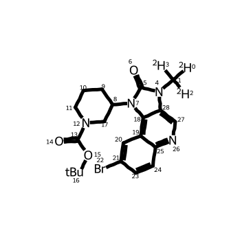 [2H]C([2H])([2H])n1c(=O)n(C2CCCN(C(=O)OC(C)(C)C)C2)c2c3cc(Br)ccc3ncc21